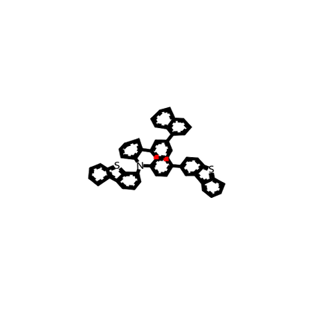 c1cc(-c2ccccc2N(c2ccc(-c3ccc4sc5ccccc5c4c3)cc2)c2cccc3c2sc2ccccc23)cc(-c2cccc3ccccc23)c1